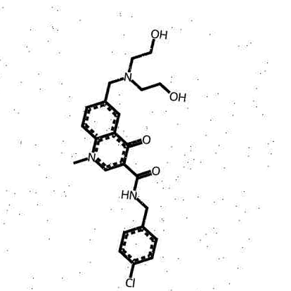 Cn1cc(C(=O)NCc2ccc(Cl)cc2)c(=O)c2cc(CN(CCO)CCO)ccc21